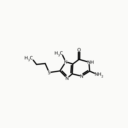 CCCSc1nc2nc(N)[nH]c(=O)c2n1C